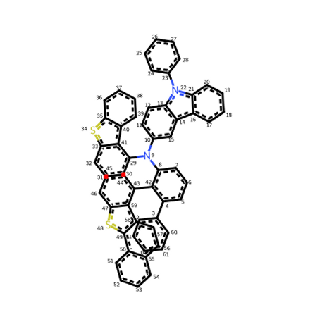 c1ccc(-c2cccc(N(c3ccc4c(c3)c3ccccc3n4-c3ccccc3)c3cccc4sc5ccccc5c34)c2-c2cccc3sc4c5ccccc5ccc4c23)cc1